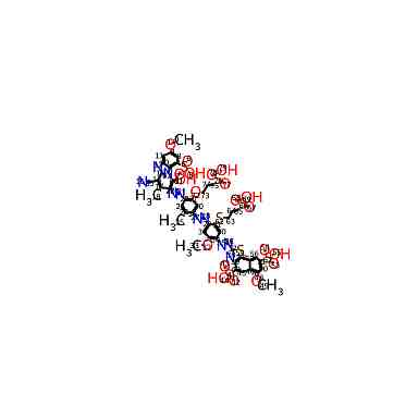 COc1cc(S(=O)(=O)O)c2c(c1)nc1c(C#N)c(C)c(N=Nc3cc(C)c(N=Nc4cc(OC)c(N=Nc5nc6c(S(=O)(=O)O)cc7c(OC)cc(S(=O)(=O)O)cc7c6s5)cc4SCCCS(=O)(=O)O)cc3OCCCS(=O)(=O)O)c(O)n12